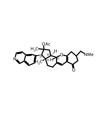 CNCC1CC(=O)C2=C(C1)O[C@@H]1C(=C2)CC[C@@]2(C)[C@H]1CC(C)(OC(C)=O)[C@@H]2c1ccc2cnccc2c1